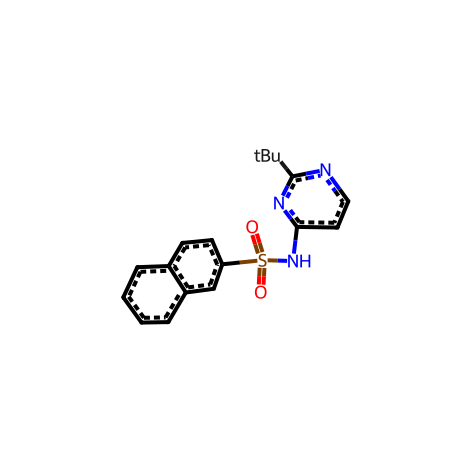 CC(C)(C)c1nccc(NS(=O)(=O)c2ccc3ccccc3c2)n1